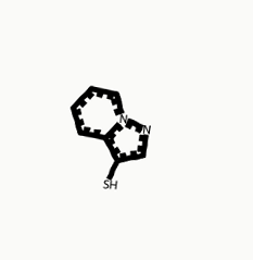 Sc1cnn2ccccc12